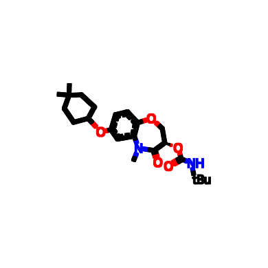 CN1C(=O)[C@@H](OC(=O)NC(C)(C)C)COc2ccc(OC3CCC(C)(C)CC3)cc21